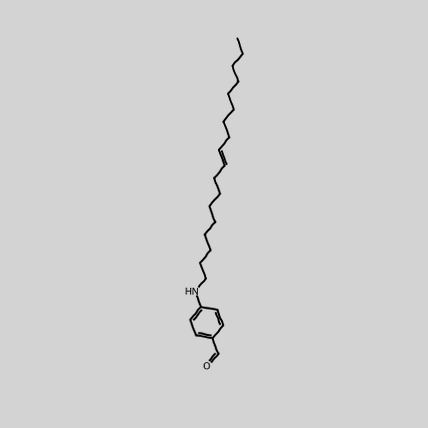 CCCCCCCCC=CCCCCCCCCNc1ccc(C=O)cc1